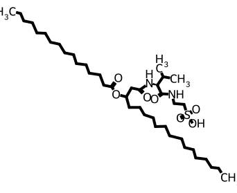 CCCCCCCCCCCCCCCC(=O)OC(CCCCCCCCCCCCCCC)CC(=O)N[C@H](C(=O)NCCS(=O)(=O)O)C(C)C